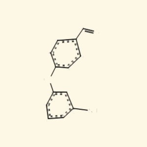 Nc1cccc(Oc2ccc([C]=O)cc2)c1